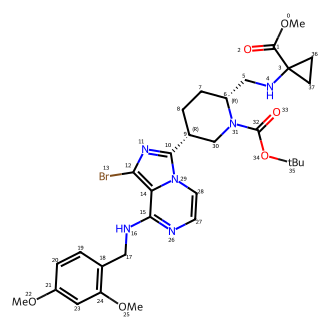 COC(=O)C1(NC[C@H]2CC[C@@H](c3nc(Br)c4c(NCc5ccc(OC)cc5OC)nccn34)CN2C(=O)OC(C)(C)C)CC1